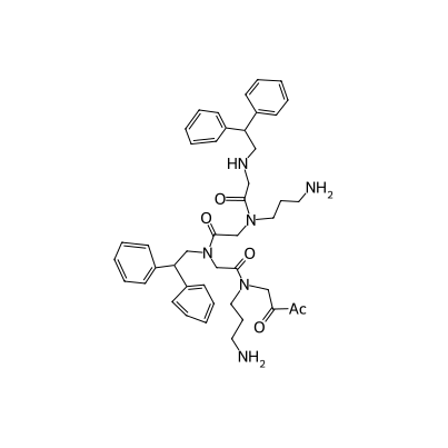 CC(=O)C(=O)CN(CCCN)C(=O)CN(CC(c1ccccc1)c1ccccc1)C(=O)CN(CCCN)C(=O)CNCC(c1ccccc1)c1ccccc1